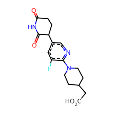 O=C(O)CC1CCN(c2ncc(C3CCC(=O)NC3=O)cc2F)CC1